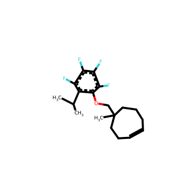 CC(C)c1c(F)c(F)c(F)c(F)c1OCC1(C)CC/C=C\CCC1